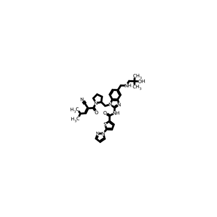 CC(C)C=C(C#N)C(=O)N1CCCC1Cn1c(NC(=O)c2ccc(-n3cccn3)s2)nc2cc(CNCC(C)(C)O)ccc21